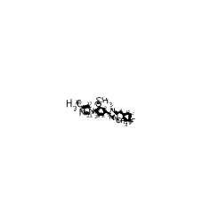 COc1cc(-c2nc(Cc3ccc(F)cc3)n(C)n2)ccc1-n1cnc(C)c1